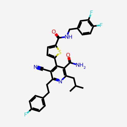 CC(C)Cc1nc(CCc2ccc(F)cc2)c(C#N)c(-c2ccc(C(=O)NCc3ccc(F)c(F)c3)s2)c1C(N)=O